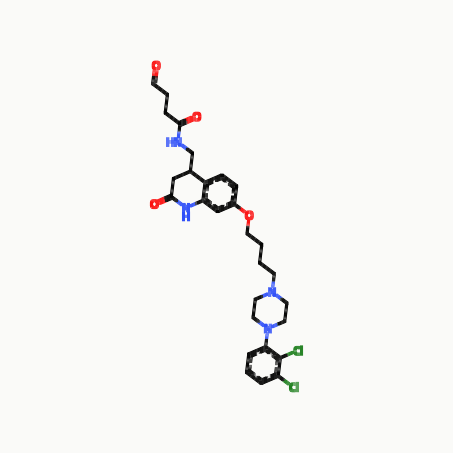 O=CCCC(=O)NCC1CC(=O)Nc2cc(OCCCCN3CCN(c4cccc(Cl)c4Cl)CC3)ccc21